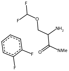 CNC(=O)C(N)COC(F)F.Fc1ccccc1F